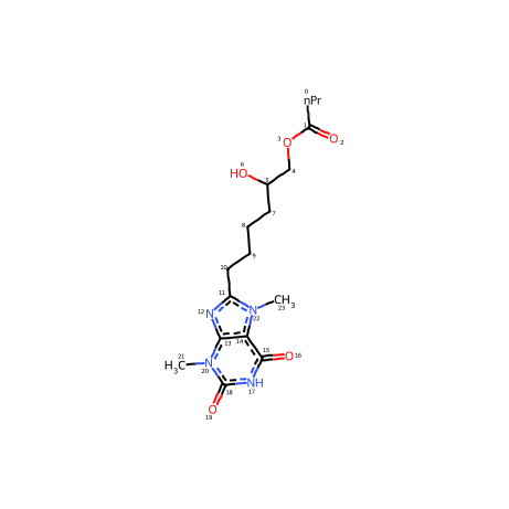 CCCC(=O)OCC(O)CCCCc1nc2c(c(=O)[nH]c(=O)n2C)n1C